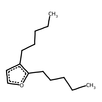 CCCCCc1ccoc1CCCCC